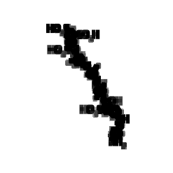 Cc1cc(N=Nc2cc(C)c(N=Nc3c(S(=O)(=O)O)cc4cc(NCOc5ccc(N)cc5)ccc4c3O)cc2C)ccc1N=Nc1ccc(N=Nc2cc3c(S(=O)(=O)O)cc(S(=O)(=O)O)cc3cc2S(=O)(=O)O)c(C)c1